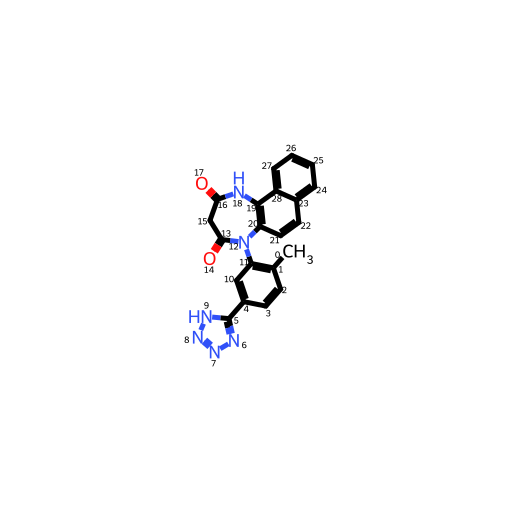 Cc1ccc(-c2nnn[nH]2)cc1N1C(=O)CC(=O)Nc2c1ccc1ccccc21